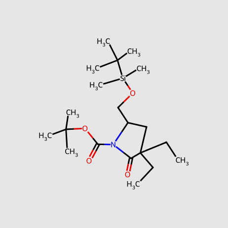 CCC1(CC)CC(CO[Si](C)(C)C(C)(C)C)N(C(=O)OC(C)(C)C)C1=O